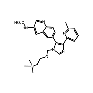 Cc1cccc(-c2ncn(COCC[Si](C)(C)C)c2-c2ccc3ncc(NC(=O)O)cc3c2)n1